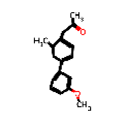 COc1cccc(C2=CC=C(CC(C)=O)C(C)C2)c1